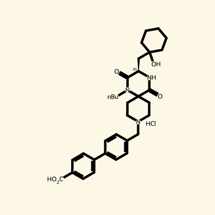 CCCCN1C(=O)[C@@H](CC2(O)CCCCC2)NC(=O)C12CCN(Cc1ccc(-c3ccc(C(=O)O)cc3)cc1)CC2.Cl